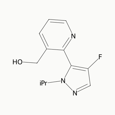 CC(C)n1ncc(F)c1-c1ncccc1CO